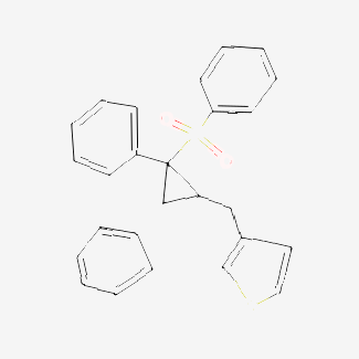 O=S(=O)(c1ccccc1)C1(c2ccccc2)C(Cc2ccsc2)[C@@H]1c1ccccc1